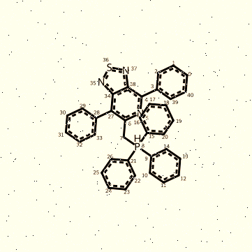 c1ccc(-c2nc(C[PH](c3ccccc3)(c3ccccc3)c3ccccc3)c(-c3ccccc3)c3nsnc23)cc1